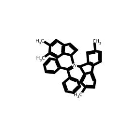 Cc1ccc2c(c1)[CH]([Zr](=[C](c1ccccc1)c1ccccc1)[CH]1C=Cc3cc(C)c(C)cc31)c1cc(C)ccc1-2